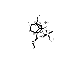 [3H][C@@H]1O[C@]2(COC)CO[C@H]1C2OP(C)(=O)O